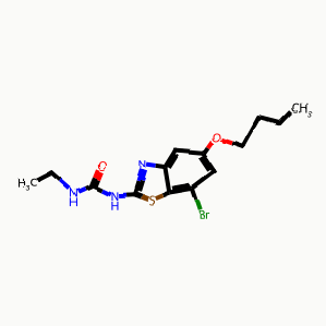 CCCCOc1cc(Br)c2sc(NC(=O)NCC)nc2c1